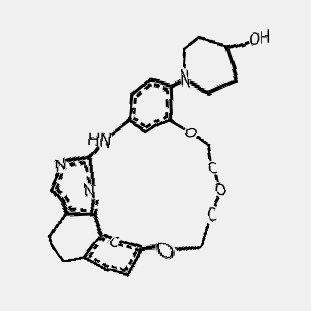 OC1CCN(c2ccc3cc2OCCOCCOc2ccc4c(c2)-c2nc(ncc2CC4)N3)CC1